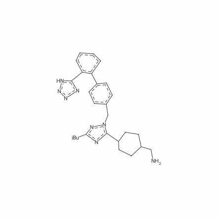 CCC(C)c1nc(C2CCC(CN)CC2)n(Cc2ccc(-c3ccccc3-c3nnn[nH]3)cc2)n1